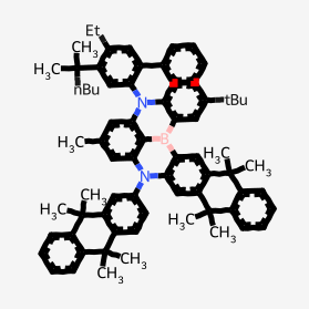 CCCCC(C)(C)c1cc(N2c3ccc(C(C)(C)C)cc3B3c4cc5c(cc4N(c4ccc6c(c4)C(C)(C)c4ccccc4C6(C)C)c4cc(C)cc2c43)C(C)(C)c2ccccc2C5(C)C)c(-c2ccccc2)cc1CC